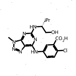 CC(C)[C@H](CO)Nc1nc(Nc2ccc(Cl)c(C(=O)O)c2)c2nnn(C)c2n1